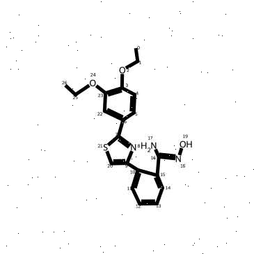 CCOc1ccc(-c2nc(-c3ccccc3/C(N)=N/O)cs2)cc1OCC